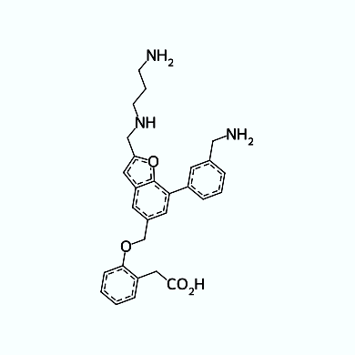 NCCCNCc1cc2cc(COc3ccccc3CC(=O)O)cc(-c3cccc(CN)c3)c2o1